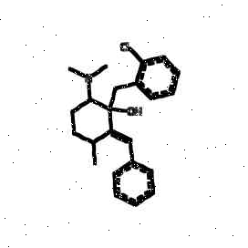 CC1CCC(N(C)C)C(O)(Cc2ccccc2Cl)C1=Cc1ccccc1